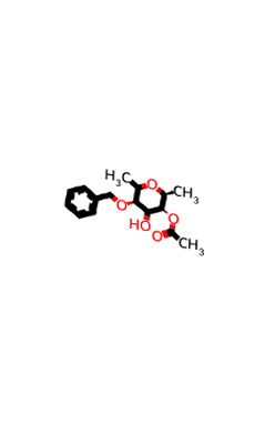 CC(=O)O[C@@H]1C(O)[C@@H](OCc2ccccc2)C(C)O[C@H]1C